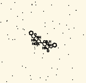 O=C(O)/C(C[C@@H]1NC(=O)[C@H](Cc2ccccc2)NC1=O)=C(\C[C@@H]1NC(=O)[C@H](Cc2ccccc2)NC1=O)C(=O)O